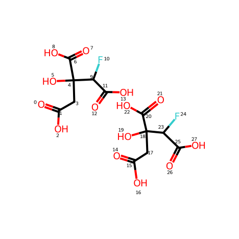 O=C(O)CC(O)(C(=O)O)C(F)C(=O)O.O=C(O)CC(O)(C(=O)O)C(F)C(=O)O